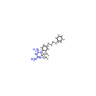 CC1(C)N=C(N)N=C(N)N1c1ccc(CCCCc2ccccc2)cc1